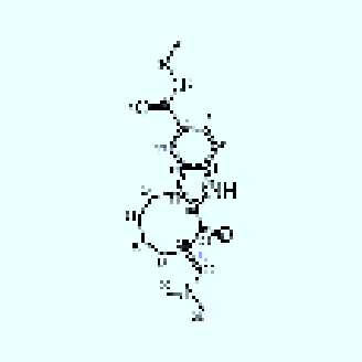 CCOC(=O)c1ccc2[nH]c3c(c2c1)CCCC/C(=C\N(C)C)C3=O